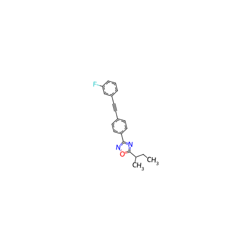 CCC(C)c1nc(-c2ccc(C#Cc3cccc(F)c3)cc2)no1